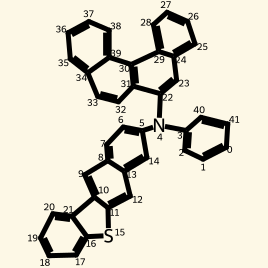 c1ccc(N(c2ccc3cc4c(cc3c2)sc2ccccc24)c2cc3ccccc3c3c2ccc2ccccc23)cc1